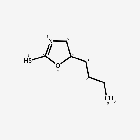 CCCCC1CN=C(S)O1